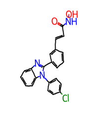 O=C(C=Cc1cccc(-c2nc3ccccc3n2-c2ccc(Cl)cc2)c1)NO